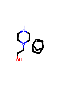 C1=CC2CCC1C2.OCCN1CCNCC1